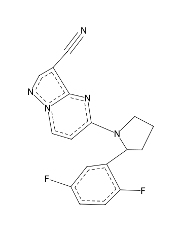 N#Cc1cnn2ccc(N3CCCC3c3cc(F)ccc3F)nc12